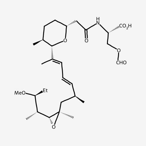 CC[C@H](OC)[C@@H](C)[C@H]1O[C@]1(C)C[C@H](C)/C=C/C=C(\C)[C@H]1O[C@@H](CC(=O)N[C@@H](COC=O)C(=O)O)CC[C@@H]1C